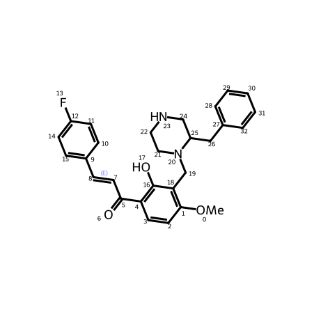 COc1ccc(C(=O)/C=C/c2ccc(F)cc2)c(O)c1CN1CCNCC1Cc1ccccc1